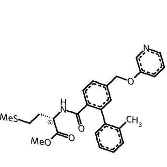 COC(=O)[C@H](CCSC)NC(=O)c1ccc(COc2cccnc2)cc1-c1ccccc1C